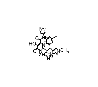 CC(c1nc(C(=O)Nc2cnoc2)c(O)c(=O)n1C)C(c1cc(F)ccc1F)c1cn(C)nc1C#N